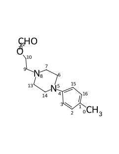 Cc1ccc(N2CCN(CCOC=O)CC2)cc1